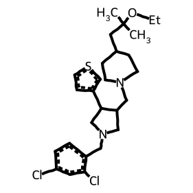 CCOC(C)(C)CC1CCN(CC2CN(Cc3ccc(Cl)cc3Cl)CC2c2ccsc2)CC1